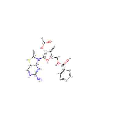 C=C1[C@@H](OC(C)=O)[C@H](N2C(=C)Sc3cnc(N)nc32)O[C@@H]1COC(=O)c1ccccc1